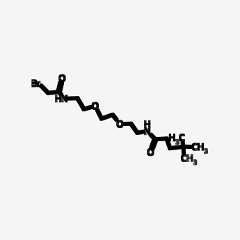 CC(C)(C)CCC(=O)NCCOCCOCCNC(=O)CBr